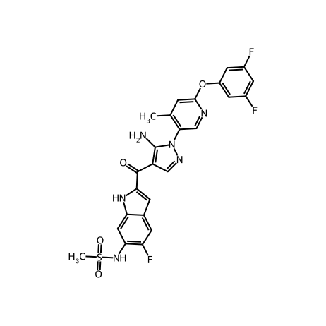 Cc1cc(Oc2cc(F)cc(F)c2)ncc1-n1ncc(C(=O)c2cc3cc(F)c(NS(C)(=O)=O)cc3[nH]2)c1N